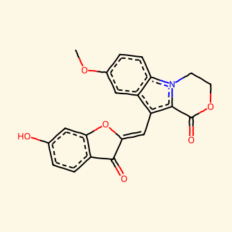 COc1ccc2c(c1)c(C=C1Oc3cc(O)ccc3C1=O)c1n2CCOC1=O